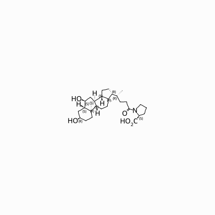 C[C@H](CCC(=O)N1CCC[C@H]1C(=O)O)[C@H]1CC[C@H]2[C@@H]3C[C@H](O)[C@H]4C[C@H](O)CC[C@]4(C)[C@H]3CC[C@]12C